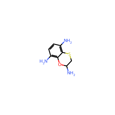 Nc1ccc(N)c2c1OC(N)CS2